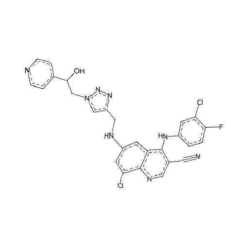 N#Cc1cnc2c(Cl)cc(NCc3cn(CC(O)c4ccncc4)nn3)cc2c1Nc1ccc(F)c(Cl)c1